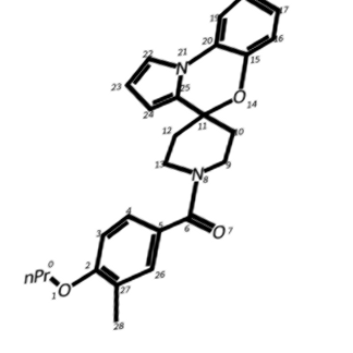 CCCOc1ccc(C(=O)N2CCC3(CC2)Oc2ccccc2-n2cccc23)cc1C